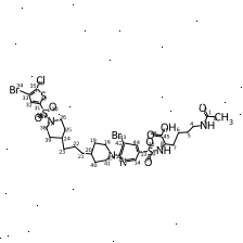 CC(=O)NCCCCC(NS(=O)(=O)c1cnc(N2CCC(CCCC3CCN(S(=O)(=O)c4cc(Br)c(Cl)s4)CC3)CC2)c(Br)c1)C(=O)O